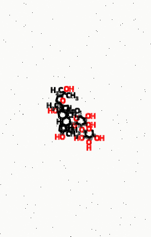 CC(=O)OC[C@H]1O[C@@H](O[C@H]2C[C@]3(C)[C@H](C[C@@H](O)[C@@H]4[C@@H]([C@]5(C)CC[C@@H](C(C)(C)O)O5)CC[C@]43C)[C@@]3(C)CC[C@H](O)C(C)(C)[C@H]23)[C@H](O[C@@H]2OC[C@@H](O)[C@H](O)[C@H]2O)[C@@H](O)[C@@H]1O